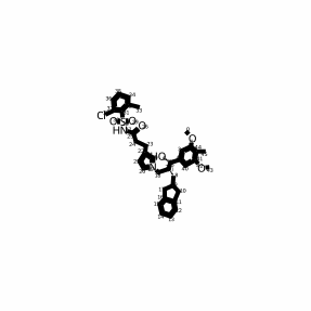 COc1cc([C@@H](O)[C@H](CC2Cc3ccccc3C2)Cn2ccc(CCC(=O)NS(=O)(=O)c3c(C)cccc3Cl)c2)cc(OC)c1C